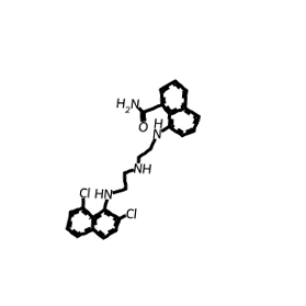 NC(=O)c1cccc2cccc(NCCNCCNc3c(Cl)ccc4cccc(Cl)c34)c12